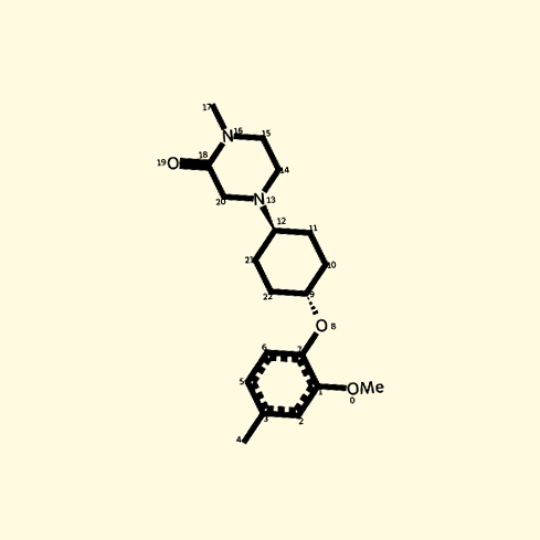 COc1cc(C)ccc1O[C@H]1CC[C@H](N2CCN(C)C(=O)C2)CC1